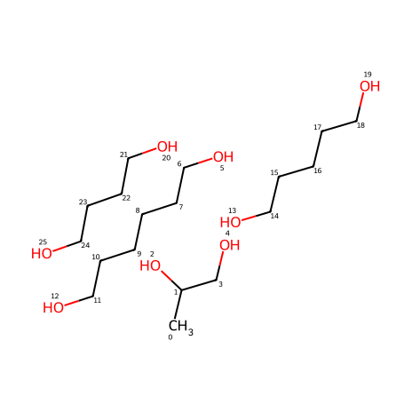 CC(O)CO.OCCCCCCO.OCCCCCO.OCCCCO